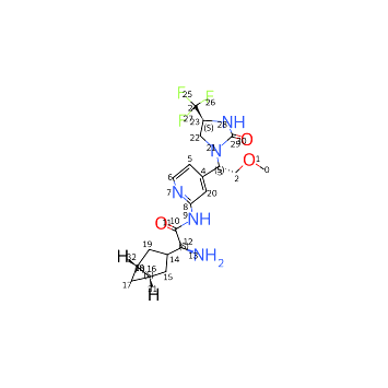 COC[C@H](c1ccnc(NC(=O)[C@@H](N)C2C[C@@H]3C[C@@H]3C2)c1)N1C[C@@H](C(F)(F)F)NC1=O